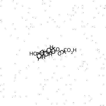 CC1=CC[C@]2(CO)CC[C@]3(C)[C@H](CC[C@@H]4[C@@]5(C)CC[C@H](OC(=O)CC(C)(C)C(=O)O)C(C)(C)[C@@H]5CC[C@]43C)[C@H]2[C@@H]1C